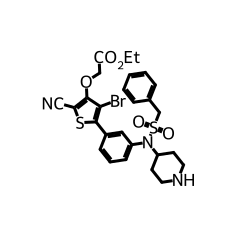 CCOC(=O)COc1c(C#N)sc(-c2cccc(N(C3CCNCC3)S(=O)(=O)Cc3ccccc3)c2)c1Br